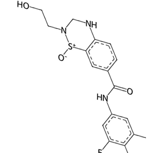 O=C(Nc1cc(F)c(F)c(F)c1)c1ccc2c(c1)[S+]([O-])N(CCO)CN2